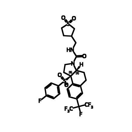 O=C(NCC1CCS(=O)(=O)C1)N1CC[C@@]2(S(=O)(=O)c3ccc(F)cc3)c3ccc(C(F)(C(F)(F)F)C(F)(F)F)cc3CC[C@@H]12